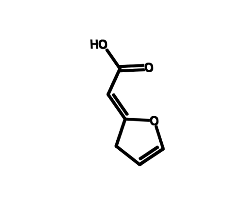 O=C(O)C=C1CC=CO1